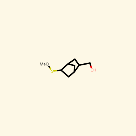 COSC1CC2CC1CC2CO